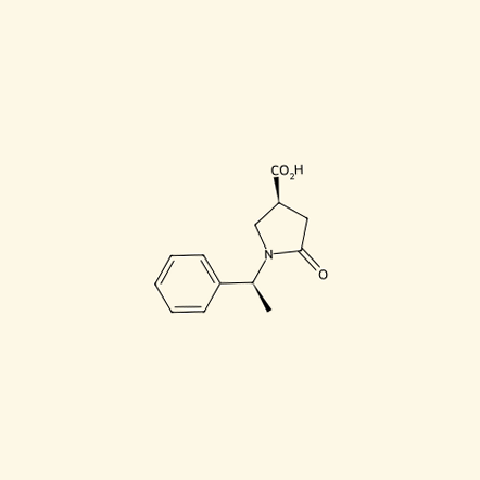 C[C@@H](c1ccccc1)N1C[C@@H](C(=O)O)CC1=O